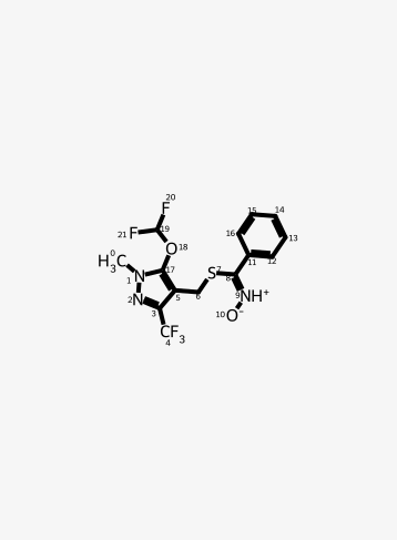 Cn1nc(C(F)(F)F)c(CS/C(=[NH+]\[O-])c2ccccc2)c1OC(F)F